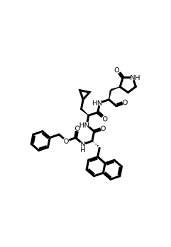 O=C[C@H](C[C@@H]1CCNC1=O)NC(=O)[C@H](CC1CC1)NC(=O)[C@H](Cc1cccc2ccccc12)NC(=O)OCc1ccccc1